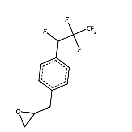 FC(c1ccc(CC2CO2)cc1)C(F)(F)C(F)(F)F